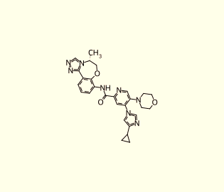 C[C@@H]1COc2c(NC(=O)c3cc(-n4cnc(C5CC5)c4)c(N4CCOCC4)cn3)cccc2-c2nncn21